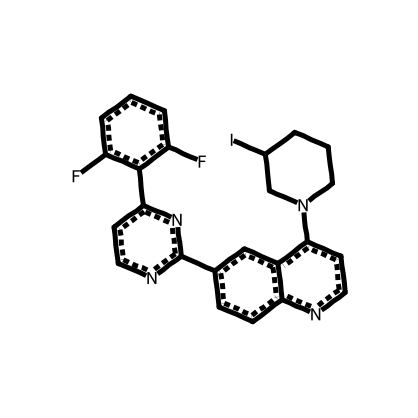 Fc1cccc(F)c1-c1ccnc(-c2ccc3nccc(N4CCCC(I)C4)c3c2)n1